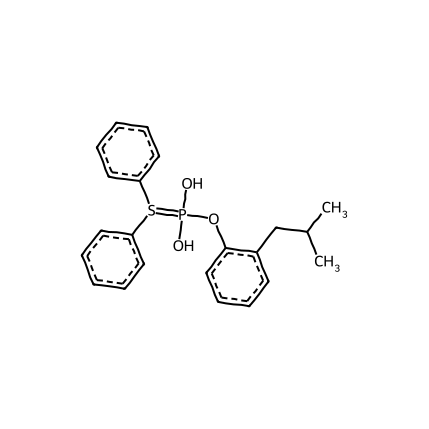 CC(C)Cc1ccccc1OP(O)(O)=S(c1ccccc1)c1ccccc1